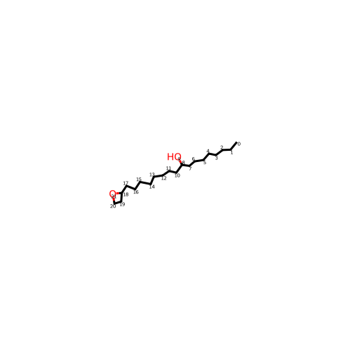 CCCCCCCCC(O)CCCCCCCCC1CCO1